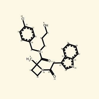 CC1(C(=O)N(CCCO)Cc2ccc(Cl)cc2)CCN1C(=O)Cc1csc2ccccc12